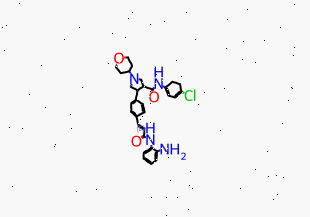 Nc1ccccc1NC(=O)/C=C/c1ccc(C2CN(C3CCOCC3)CC2C(=O)NC2=CC=C(Cl)CC2)cc1